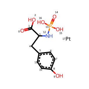 O=C(O)C(Cc1ccc(O)cc1)NP(=O)(O)O.[Pt]